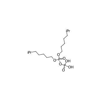 CC(C)CCCCCOP(=O)(OCCCCCC(C)C)OP(=O)(O)O